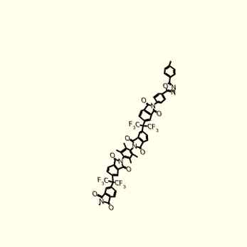 Cc1ccc(-c2nnc(-c3ccc(N4C(=O)c5ccc(C(c6ccc7c(c6)C(=O)N(c6c(C)c(C)c(N8C(=O)c9ccc(C(c%10ccc%11c(c%10)C(=O)N(C)C%11=O)(C(F)(F)F)C(F)(F)F)cc9C8=O)c(C)c6C)C7=O)(C(F)(F)F)C(F)(F)F)cc5C4=O)cc3)o2)cc1